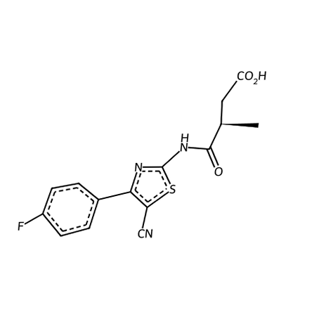 C[C@H](CC(=O)O)C(=O)Nc1nc(-c2ccc(F)cc2)c(C#N)s1